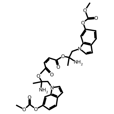 COC(=O)Oc1ccc2ccn(CC(C)(N)OC(=O)/C=C\C(=O)OC(C)(N)Cn3ccc4ccc(OC(=O)OC)cc43)c2c1